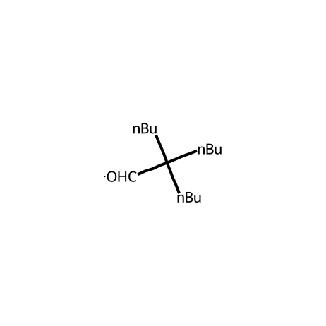 CCCCC([C]=O)(CCCC)CCCC